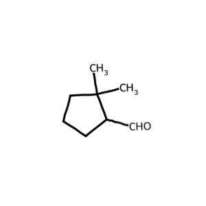 CC1(C)CCCC1C=O